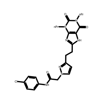 CCCn1c(=O)c2[nH]c(CCc3ccn(CC(=O)Nc4ccc(Cl)cc4)n3)nc2n(CCC)c1=O